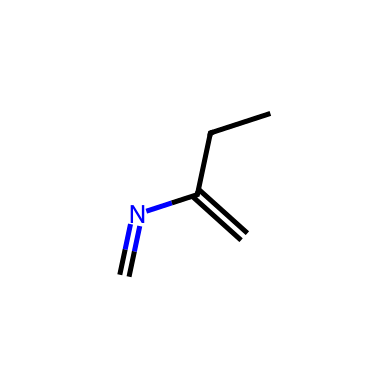 C=NC(=C)CC